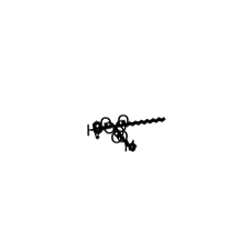 CCCCCCCCCCCCCCC(=O)OCC(COC(=O)CC12CCC[C@@H](C[C@@H](CC)C1)C2)COC(=O)OCCCN1CCCC1